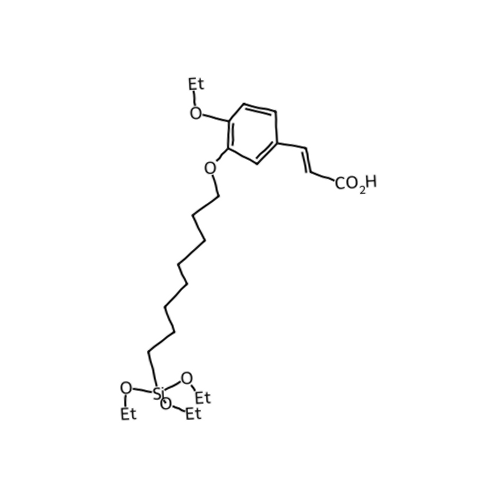 CCOc1ccc(C=CC(=O)O)cc1OCCCCCCCC[Si](OCC)(OCC)OCC